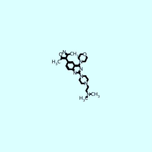 Cc1noc(C)c1-c1ccc2nc(N3CCN(CCN(C)C)CC3)nc(N3CCOCC3)c2c1